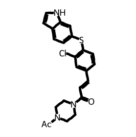 CC(=O)N1CCN(C(=O)C=Cc2ccc(Sc3ccc4cc[nH]c4c3)c(Cl)c2)CC1